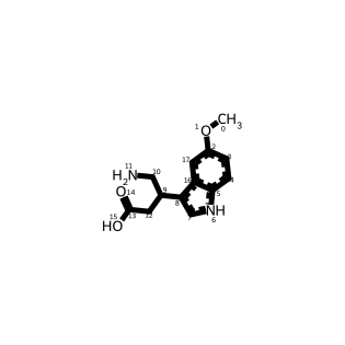 COc1ccc2[nH]cc(C(CN)CC(=O)O)c2c1